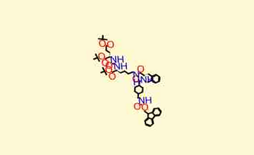 Cc1ccccc1C[C@H](NC(=O)C1CCC(CNC(=O)OCC2c3ccccc3-c3ccccc32)CC1)C(=O)NCCCC[C@H](NC(=O)N[C@@H](CCC(=O)OC(C)(C)C)C(=O)OC(C)(C)C)C(=O)OC(C)(C)C